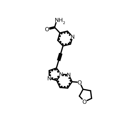 NC(=O)c1cncc(C#Cc2cnc3ccc(OC4CCOC4)nn23)c1